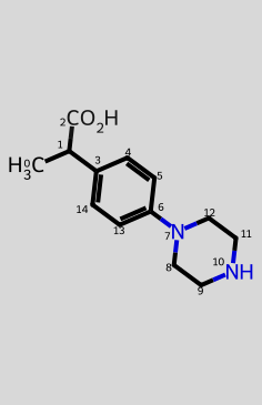 CC(C(=O)O)c1ccc(N2CCNCC2)cc1